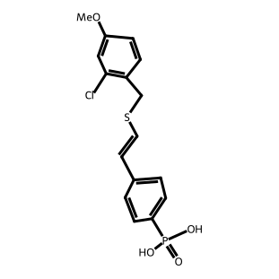 COc1ccc(CSC=Cc2ccc(P(=O)(O)O)cc2)c(Cl)c1